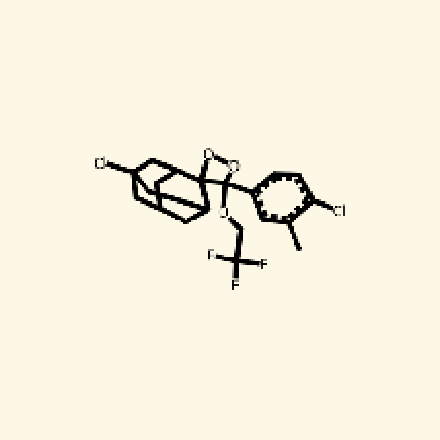 Cc1cc(C2(OCC(F)(F)F)OOC23C2CC4CC3CC(Cl)(C4)C2)ccc1Cl